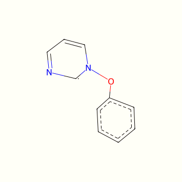 [CH]1N=CC=CN1Oc1ccccc1